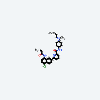 C=CC(=O)Nc1ccc(Cl)c2ccc(-c3cccc(C(=O)NC4CCC(N(C)CCOC)CC4)n3)cc12